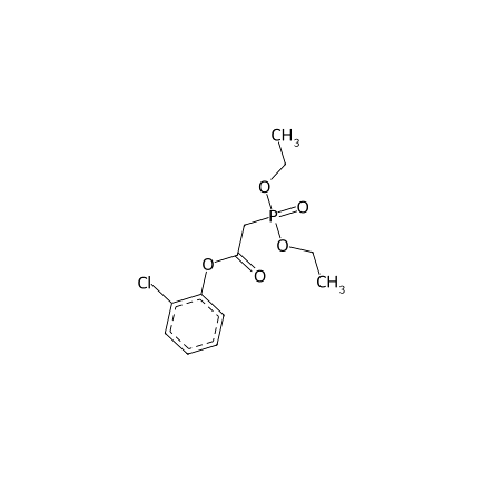 CCOP(=O)(CC(=O)Oc1ccccc1Cl)OCC